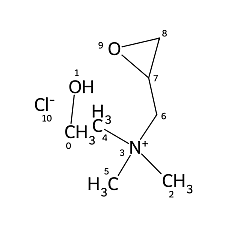 CO.C[N+](C)(C)CC1CO1.[Cl-]